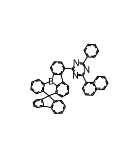 c1ccc(-c2nc(-c3cccc4c3-c3cccc5c3B4c3ccccc3C53c4ccccc4-c4ccccc43)nc(-c3cccc4ccccc34)n2)cc1